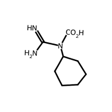 N=C(N)N(C(=O)O)C1CCCCC1